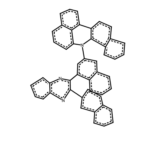 c1ccc2cc(-c3nc4ccccc4nc3-c3cc(N4c5c(ccc6ccccc56)-c5cccc6cccc4c56)cc4ccccc34)ccc2c1